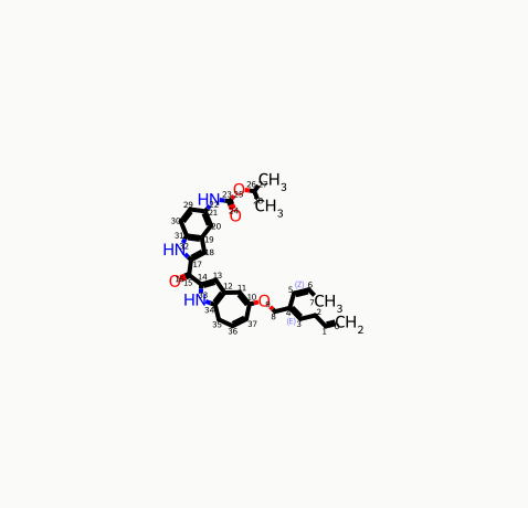 C=CC/C=C(\C=C/C)COC1=Cc2cc(C(=O)c3cc4cc(NC(=O)OC(C)C)ccc4[nH]3)[nH]c2CC=C1